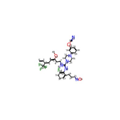 C=C/C(=C\C=C(/CCN(C)/C(=N\C1=C(F)CCC=C1CCCN=O)N1CCN(c2cccc(OC#N)c2)CC1)OC)C(F)(F)F